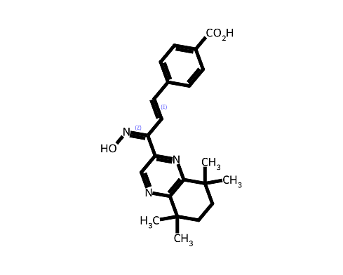 CC1(C)CCC(C)(C)c2nc(C(/C=C/c3ccc(C(=O)O)cc3)=N\O)cnc21